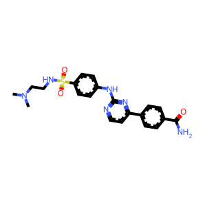 CN(C)CCNS(=O)(=O)c1ccc(Nc2nccc(-c3ccc(C(N)=O)cc3)n2)cc1